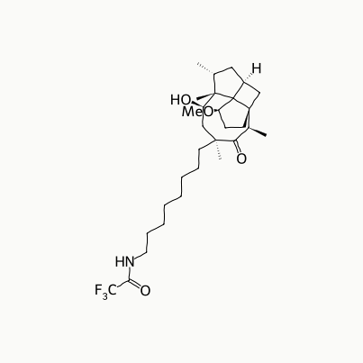 CO[C@@H]1CC[C@@]23C[C@@H]4C[C@@H](C)[C@@](C)([C@H](O)C[C@](C)(CCCCCCCCNC(=O)C(F)(F)F)C(=O)[C@@H]2C)C413